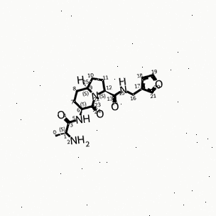 C[C@H](N)C(=O)N[C@H]1CC[C@H]2CC[C@@H](C(=O)NCc3ccoc3)N2C1=O